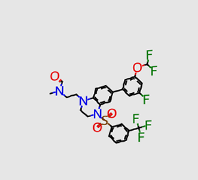 CN(C=O)CCN1CCN(S(=O)(=O)c2cccc(C(F)(F)F)c2)c2cc(-c3cc(F)cc(OC(F)F)c3)ccc21